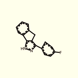 Fc1ccc(-c2n[nH]c3c2Cc2ccccc2-3)cc1